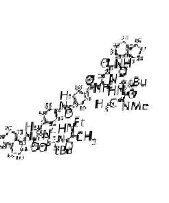 CCN[C@@H](C)C(=O)N[C@H](C(=O)N1Cc2cc(NC(=O)c3ccc(C(=O)N[C@H]4C[C@@H](C(=O)N[C@@H]5CCCc6ccccc65)N(C(=O)[C@@H](NC(=O)[C@H](C)NC)C(C)(C)C)C4)cc3)ccc2C[C@H]1C(=O)N[C@@H]1CCCc2ccccc21)C(C)(C)C